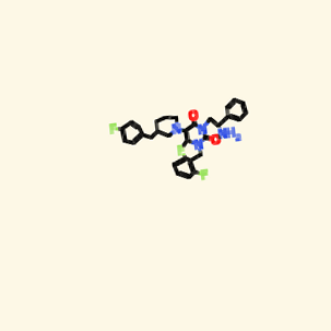 Cc1c(N2CCCC(Cc3ccc(F)cc3)C2)c(=O)n(C[C@@H](N)c2ccccc2)c(=O)n1Cc1c(F)cccc1F